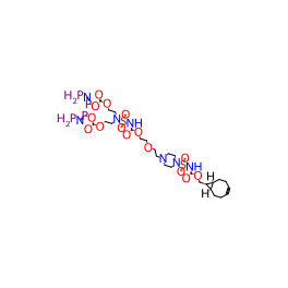 O=C(NS(=O)(=O)N(CCOC(=O)O/P=N/P)CCOC(=O)O/P=N/P)OCCOCCN1CCN(S(=O)(=O)NC(=O)OC[C@@H]2[C@@H]3CCC#CCC[C@@H]32)CC1